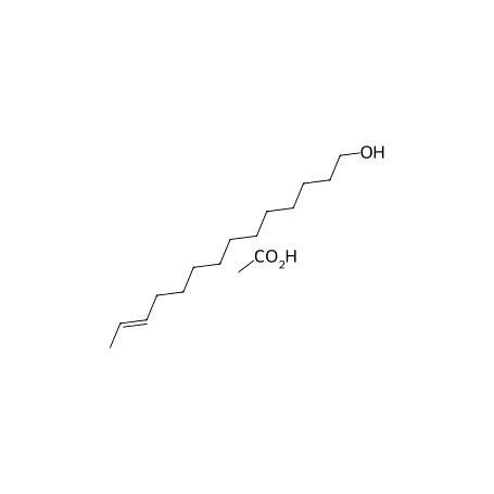 CC(=O)O.CC=CCCCCCCCCCCCO